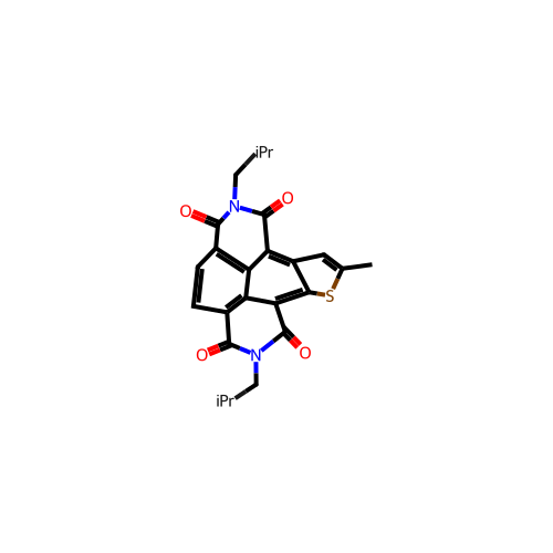 Cc1cc2c3c4c(ccc5c4c(c2s1)C(=O)N(CC(C)C)C5=O)C(=O)N(CC(C)C)C3=O